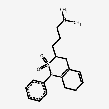 CN(C)CCCC1CC2=C(CCC=C2)N(c2ccccc2)S1(=O)=O